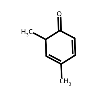 CC1=CC(C)C(=O)C=C1